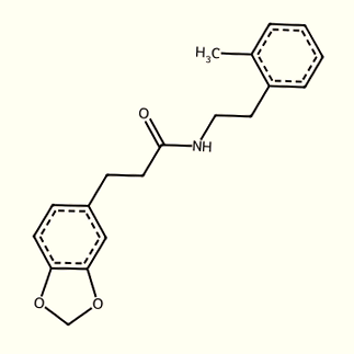 Cc1ccccc1CCNC(=O)CCc1ccc2c(c1)OCO2